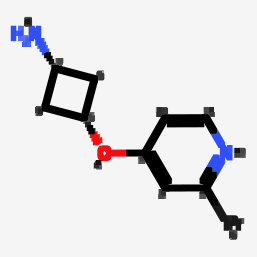 CC(C)c1cc(O[C@H]2C[C@@H](N)C2)ccn1